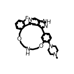 CN1CCN(c2ccc3cc2OCCNCCOCc2cccc(F)c2-c2cc4c-3n[nH]c4cn2)CC1